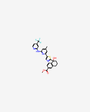 COC(=O)c1ccc2c(c1)CCC[C@@]2(O)c1ncc(-c2cc(C)cc(Nc3cc(C(F)(F)F)ccn3)n2)s1